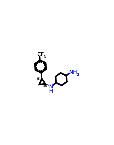 NC1CCC(N[C@@H]2C[C@H]2c2ccc(C(F)(F)F)cc2)CC1